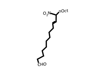 CCCCCCCCC(/C=C/CCCCCCCCC=O)[N+](=O)[O-]